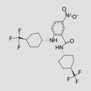 O=C(N[C@H]1CC[C@H](C(F)(F)F)CC1)c1cc([N+](=O)[O-])ccc1N[C@H]1CC[C@H](C(F)(F)F)CC1